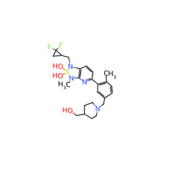 Cc1ccc(CN2CCC(CO)CC2)cc1-c1ccc2c(n1)N(C)S(O)(O)N2CC1CC1(F)F